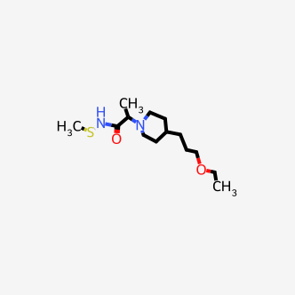 CCOCCCC1CCN(C(C)C(=O)NSC)CC1